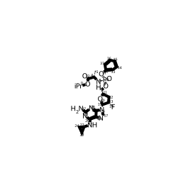 CC(C)OC(=O)[C@H](C)N[P@](=O)(OC[C@@H]1C[C@H](F)[C@H](n2cnc3c(NC4CC4)nc(N)nc32)O1)Oc1ccccc1